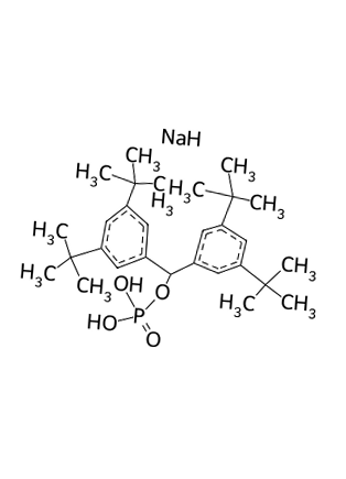 CC(C)(C)c1cc(C(OP(=O)(O)O)c2cc(C(C)(C)C)cc(C(C)(C)C)c2)cc(C(C)(C)C)c1.[NaH]